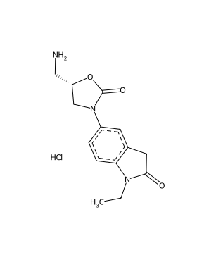 CCN1C(=O)Cc2cc(N3C[C@H](CN)OC3=O)ccc21.Cl